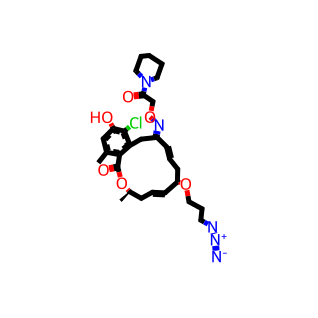 Cc1cc(O)c(Cl)c2c1C(=O)O[C@H](C)C/C=C/C(OCCCN=[N+]=[N-])C/C=C/C(=N/OCC(=O)N1CCCCC1)C2